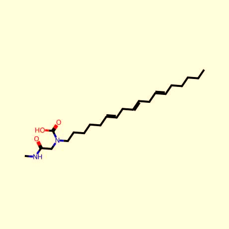 CCCCC/C=C/C/C=C/C/C=C/CCCCCN(CC(=O)NC)C(=O)O